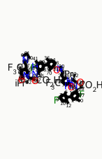 Cc1cc(-c2c(C)cc(F)cc2C)cc([C@H](CC(=O)O)NC(=O)[C@H](CC(C)C)n2cc(CCN(C)Oc3ccc(C)c(-c4cc(C)c(F)c([C@H](CC(=O)O)NC(=O)[C@H](CC(C)C)n5cc(CCN6CCC6)c(C(F)(F)F)cc5=O)c4)c3C)c(C(F)(F)F)cc2=O)c1F